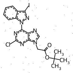 CC(C)(C)OC(=O)Cn1cnc2c(-n3nc(I)c4ccccc43)nc(Cl)nc21